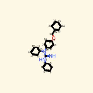 N=C(Nc1ccccc1)N(c1ccccc1)c1ccc(OCc2ccccc2)cc1